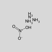 N.N.N.O=[N+]([O-])O